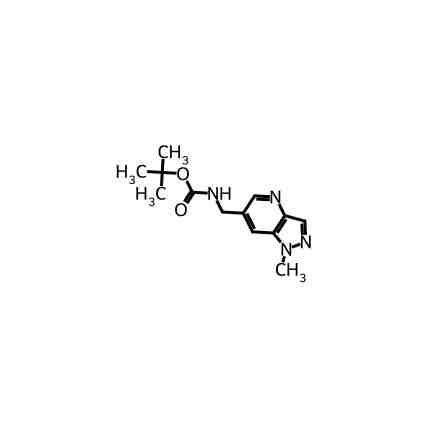 Cn1ncc2ncc(CNC(=O)OC(C)(C)C)cc21